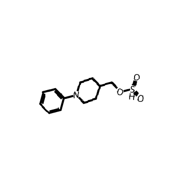 O=[SH](=O)OCC1CCN(c2ccccc2)CC1